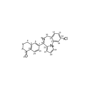 O=C1CCCc2cc(C3=NCc4ccc(Cl)cc4-n4cccc43)ccc21